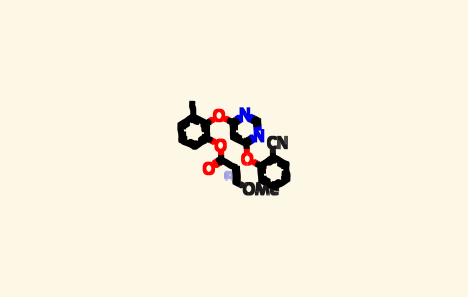 CO/C=C/C(=O)Oc1cccc(C)c1Oc1cc(Oc2ccccc2C#N)ncn1